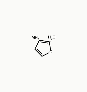 O.[AlH3].[c]1ccco1